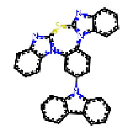 c1ccc2c(c1)nc1sc3nc4ccccc4n3c3cc(-n4c5ccccc5c5ccccc54)ccc3n12